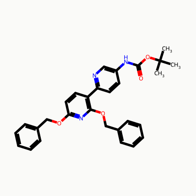 CC(C)(C)OC(=O)Nc1ccc(-c2ccc(OCc3ccccc3)nc2OCc2ccccc2)nc1